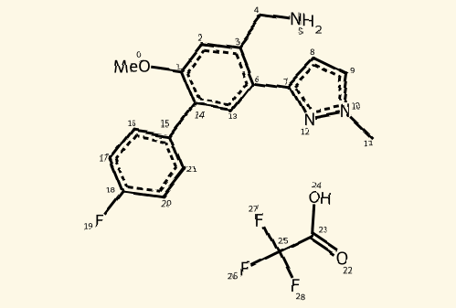 COc1cc(CN)c(-c2ccn(C)n2)cc1-c1ccc(F)cc1.O=C(O)C(F)(F)F